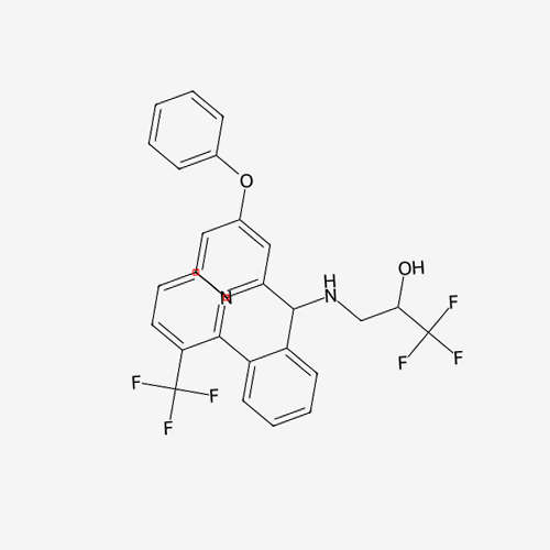 OC(CNC(c1cccc(Oc2ccccc2)c1)c1ccccc1-c1ncccc1C(F)(F)F)C(F)(F)F